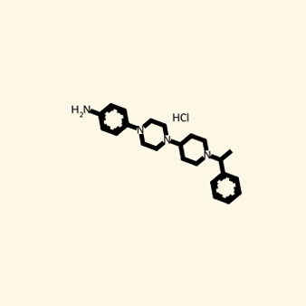 CC(c1ccccc1)N1CCC(N2CCN(c3ccc(N)cc3)CC2)CC1.Cl